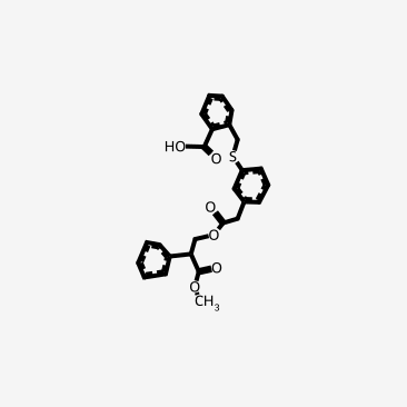 COC(=O)C(COC(=O)Cc1cccc(SCc2ccccc2C(=O)O)c1)c1ccccc1